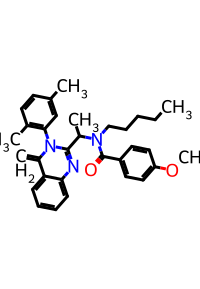 C=C1c2ccccc2N=C(C(C)N(CCCCC)C(=O)c2ccc(OC)cc2)N1c1cc(C)ccc1C